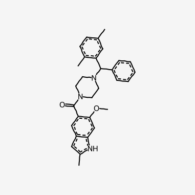 COc1cc2[nH]c(C)cc2cc1C(=O)N1CCN(C(c2ccccc2)c2cc(C)ccc2C)CC1